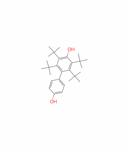 CC(C)(C)c1c(O)c(C(C)(C)C)c(C(C)(C)C)c(-c2ccc(O)cc2)c1C(C)(C)C